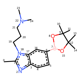 Cc1nc2ccc(B3OC(C)(C)C(C)(C)O3)cc2n1CCCN(C)C